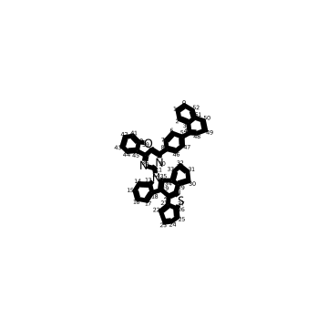 c1ccc2c(-c3ccc(-c4nc(-n5c6ccccc6c6c7c8ccccc8sc7c7ccccc7c65)nc5c4oc4ccccc45)cc3)cccc2c1